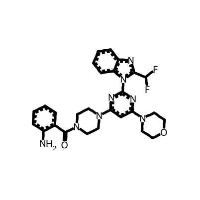 Nc1ccccc1C(=O)N1CCN(c2cc(N3CCOCC3)nc(-n3c(C(F)F)nc4ccccc43)n2)CC1